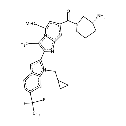 COc1cc(C(=O)N2CCC[C@@H](N)C2)cc2nc(-c3cc4ccc(C(C)(F)F)nc4n3CC3CC3)c(C)n12